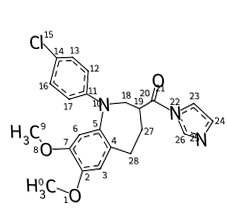 COc1cc2c(cc1OC)N(c1ccc(Cl)cc1)CC(C(=O)n1ccnc1)CC2